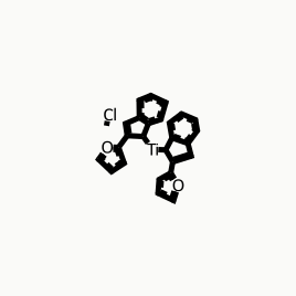 C1=C(c2ccco2)[CH]([Ti][CH]2C(c3ccco3)=Cc3ccccc32)c2ccccc21.CCl